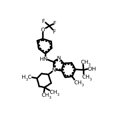 Cc1cc2c(cc1C(C)(C)O)nc(Nc1ccc(OC(F)(F)F)cc1)n2C1CC(C)CC(C)(C)C1